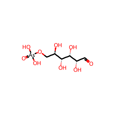 O=C[C@H](O)[C@@H](O)[C@H](O)[C@H](O)CO[As](=O)(O)O